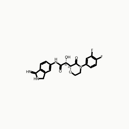 N=C1NCc2cc(NC(=O)[C@H](O)[C@H]3OCCN(c4ccc(F)c(F)c4)C3=O)ccc21